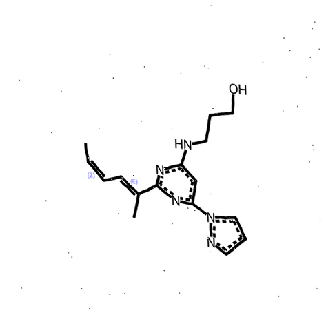 C/C=C\C=C(/C)c1nc(NCCCO)cc(-n2cccn2)n1